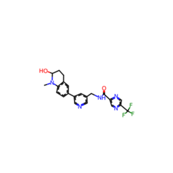 CN1c2ccc(-c3cncc(CNC(=O)c4cnc(C(F)(F)F)cn4)c3)cc2CCC1O